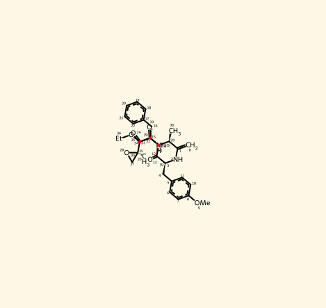 C=C(N[C@@H](Cc1ccc(OC)cc1)C(=O)N[C@@H](Cc1ccccc1)C(=O)[C@@]1(C)CO1)[C@H](C)NC(=O)COCC